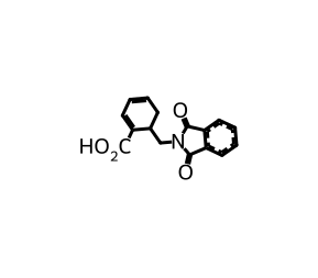 O=C(O)C1=CC=CCC1CN1C(=O)c2ccccc2C1=O